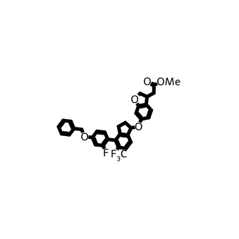 COC(=O)CC1COc2cc(OC3CCc4c3ccc(C(F)(F)F)c4-c3ccc(OCc4ccccc4)cc3F)ccc21